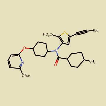 COc1cccc(OC2CCC(N(C(=O)C3CCC(C)CC3)c3cc(C#CC(C)(C)C)sc3C(=O)O)CC2)n1